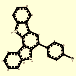 Brc1ccc(-c2cc3c4ccccc4oc3c3c2oc2ccccc23)cc1